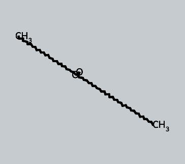 CCCCCCCCCCCCCCCCCCCCCCCCCCCCCCCCCCCCC(=O)OCCCCCCCCCCCCCCCCCCCCCCCCCCC